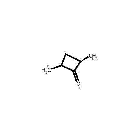 CC1C[C@@H](C)C1=O